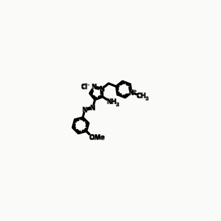 COc1cccc(N=Nc2cnn(Cc3cc[n+](C)cc3)c2N)c1.[Cl-]